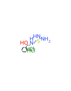 Cl.Cl.N=C(N)SCCNCC(O)c1ccccc1